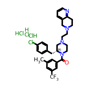 Cc1cc(C(=O)N2CCN(CCN3CCc4ncccc4C3)C[C@H]2Cc2ccc(Cl)cc2)cc(C(F)(F)F)c1.Cl.Cl.Cl